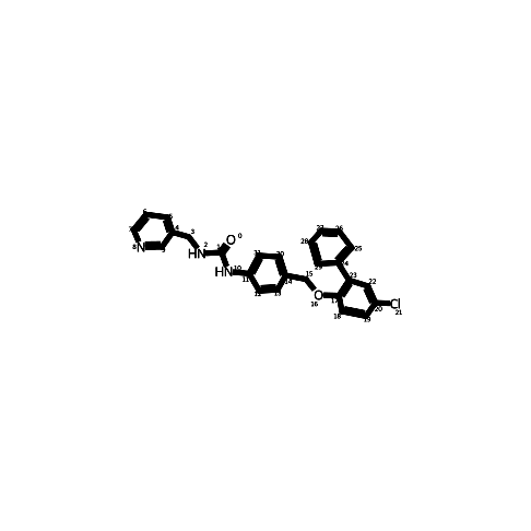 O=C(NCc1cccnc1)Nc1ccc(COc2ccc(Cl)cc2-c2ccccc2)cc1